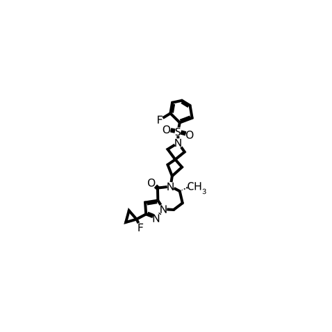 C[C@@H]1CCn2nc(C3(F)CC3)cc2C(=O)N1C1CC2(C1)CN(S(=O)(=O)c1ccccc1F)C2